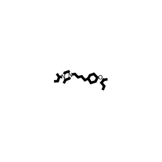 CCCC(C)OC1CCC(CCCCN2CCN(C(C)CC)C(C)C2)CC1